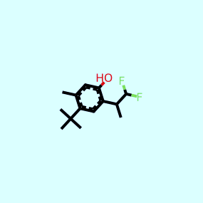 Cc1cc(O)c(C(C)C(F)F)cc1C(C)(C)C